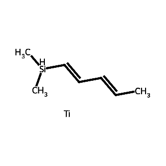 CC=CC=C[SiH](C)C.[Ti]